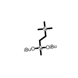 CC(C)CO[Si](C)(CC[Si](C)(C)C)OCC(C)C